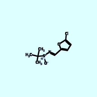 CC(C)(C)[S@@+]([O-])N=Cc1ccc(Cl)o1